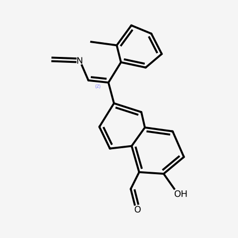 C=N/C=C(/c1ccc2c(C=O)c(O)ccc2c1)c1ccccc1C